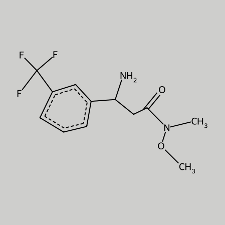 CON(C)C(=O)CC(N)c1cccc(C(F)(F)F)c1